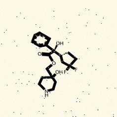 O=C(OCC1(O)CCNCC1)[C@](O)(c1ccccc1)[C@@H]1CCC(F)(F)C1